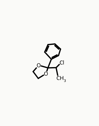 CC(Cl)C1(c2ccccc2)OCCO1